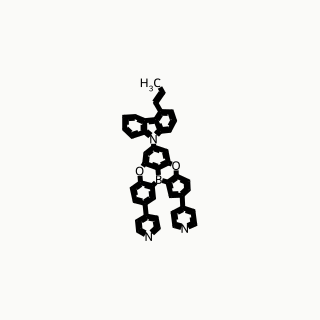 CC=Cc1cccc2c1c1ccccc1n2-c1cc2c3c(c1)Oc1ccc(-c4ccncc4)cc1B3c1cc(-c3ccncc3)ccc1O2